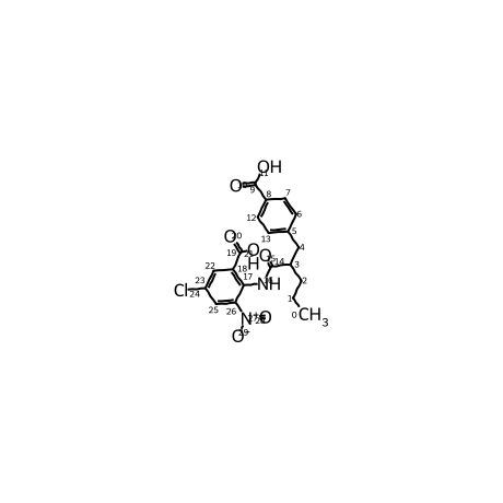 CCCC(Cc1ccc(C(=O)O)cc1)C(=O)Nc1c(C(=O)O)cc(Cl)cc1[N+](=O)[O-]